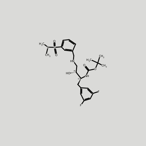 CN(C)S(=O)(=O)c1cccc(CNC[C@@H](O)[C@H](Cc2cc(F)cc(F)c2)NC(=O)OC(C)(C)C)c1